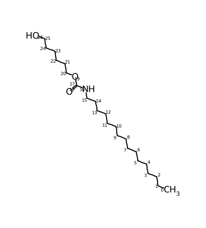 CCCCCCCCCCCCCCCCNC(=O)OCCCCCCO